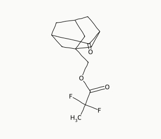 CC(F)(F)C(=O)OCC12CC3CC(C1)C(=O)C(C3)C2